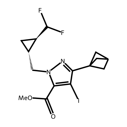 COC(=O)c1c(I)c(C23CC(C2)C3)nn1C[C@@H]1C[C@H]1C(F)F